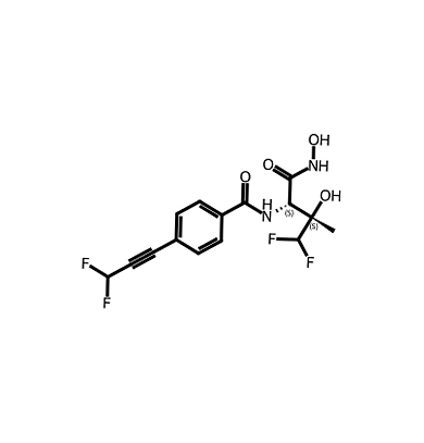 C[C@@](O)(C(F)F)[C@H](NC(=O)c1ccc(C#CC(F)F)cc1)C(=O)NO